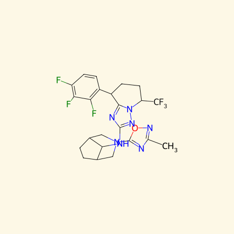 Cc1noc(N2CC3CCC(C2)C3Nc2nc3n(n2)C(C(F)(F)F)CCC3c2ccc(F)c(F)c2F)n1